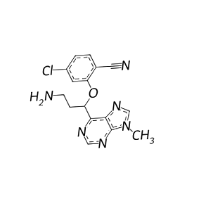 Cn1cnc2c(C(CCN)Oc3cc(Cl)ccc3C#N)ncnc21